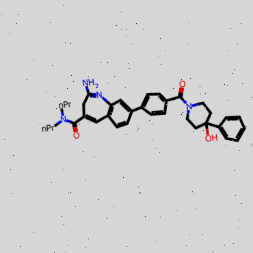 CCCN(CCC)C(=O)C1=Cc2ccc(-c3ccc(C(=O)N4CCC(O)(c5ccccc5)CC4)cc3)cc2N=C(N)C1